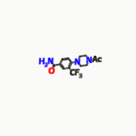 CC(=O)N1CCN(c2ccc(C(N)=O)cc2C(F)(F)F)CC1